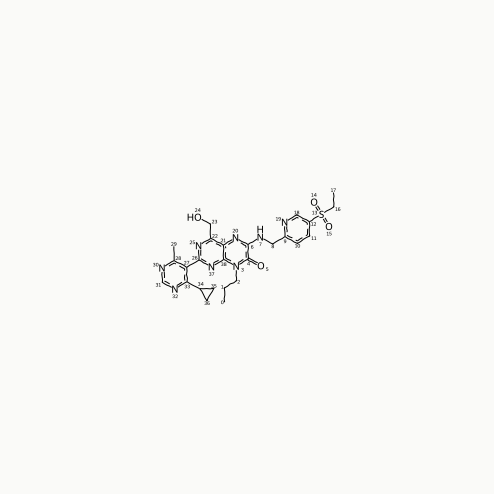 CCCn1c(=O)c(NCc2ccc(S(=O)(=O)CC)cn2)nc2c(CO)nc(-c3c(C)ncnc3C3CC3)nc21